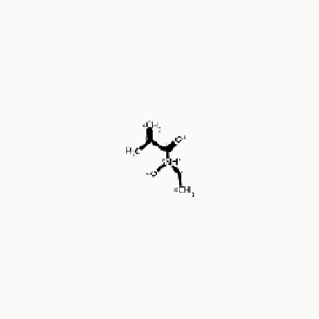 C=C(C)C(=O)[NH+]([O-])CC